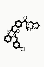 CCN1CCCC1CNC(=O)c1ccc(C=C2Sc3ccccc3N(Cc3cccc(Cl)c3)C2=O)cc1